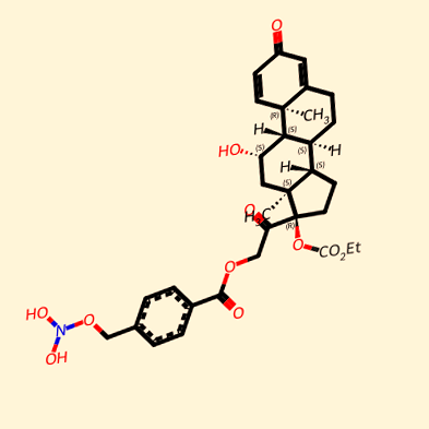 CCOC(=O)O[C@]1(C(=O)COC(=O)c2ccc(CON(O)O)cc2)CC[C@H]2[C@@H]3CCC4=CC(=O)C=C[C@]4(C)[C@H]3[C@@H](O)C[C@@]21C